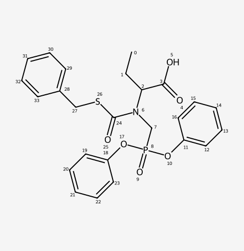 CCC(C(=O)O)N(CP(=O)(Oc1ccccc1)Oc1ccccc1)C(=O)SCc1ccccc1